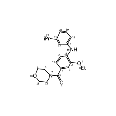 CCOc1cc(C(=O)N2CCOCC2)ccc1Nc1cccc(C(C)C)c1